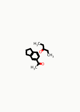 CC(=O)c1ccc2c(c1)CCC2.CCC(=O)CC